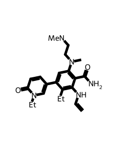 C=CNc1c(CC)c(-c2ccc(=O)n(CC)c2)cc(N(C)CCNC)c1C(N)=O